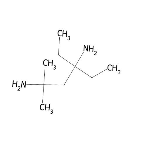 CCC(N)(CC)CC(C)(C)N